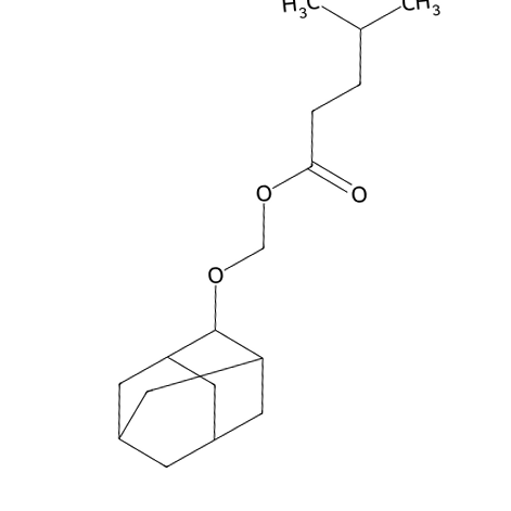 CC(C)CCC(=O)OCOC1C2CC3CC(C2)CC1C3